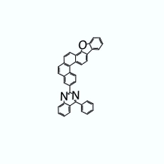 c1ccc(-c2nc(-c3ccc4c(ccc5ccc6c(ccc7c8ccccc8oc76)c54)c3)nc3ccccc23)cc1